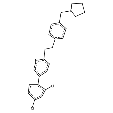 Clc1ccc(-c2ccc(CCc3ccc(CN4CCCC4)cc3)nc2)c(Cl)c1